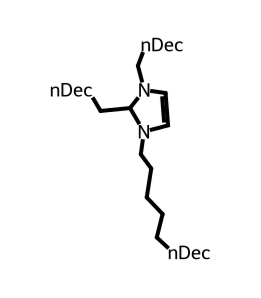 CCCCCCCCCCCCCCCN1C=CN(CCCCCCCCCCC)C1CCCCCCCCCCC